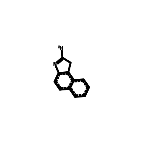 [2H]C1=Nc2ccc3ccccc3c2C1